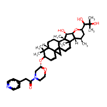 C[C@@H]1CC(C(O)C(C)(C)O)OC2[C@H]1C1(C)CCC34CC35CCC(O[C@H]3CN(C(=O)Cc6ccncc6)CCO3)C(C)(C)[C@@H]5CCC4[C@]1(C)[C@H]2O